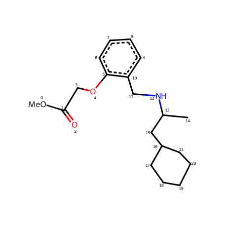 COC(=O)COc1ccccc1CNC(C)CC1CCCCC1